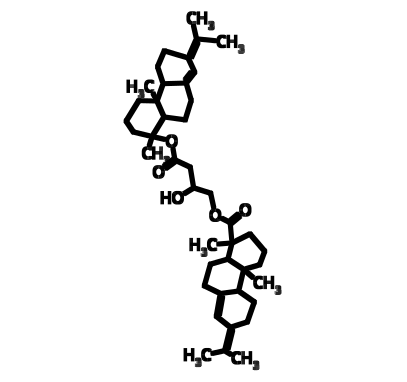 CC(C)=C1C=C2CCC3C(C)(OC(=O)CC(O)COC(=O)C4(C)CCCC5(C)C6CCC(=C(C)C)C=C6CCC45)CCCC3(C)C2CC1